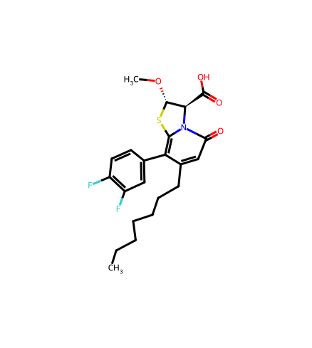 CCCCCCCc1cc(=O)n2c(c1-c1ccc(F)c(F)c1)S[C@H](OC)[C@H]2C(=O)O